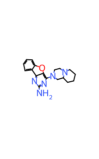 Nc1nc(N2CCN3CCCCC3C2)c2oc3ccccc3c2n1